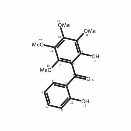 COc1c(O)c(C(=O)c2ccccc2O)c(OC)c(OC)c1OC